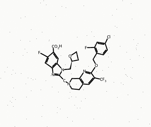 O=C(O)c1cc2c(cc1F)nc(CN1CCc3cc(C(F)(F)F)c(OCc4ccc(Cl)cc4F)nc3C1)n2C[C@@H]1CCO1